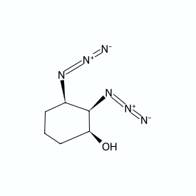 [N-]=[N+]=N[C@H]1[C@@H](O)CCC[C@H]1N=[N+]=[N-]